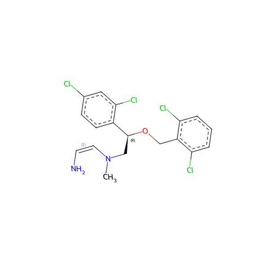 CN(/C=C\N)C[C@H](OCc1c(Cl)cccc1Cl)c1ccc(Cl)cc1Cl